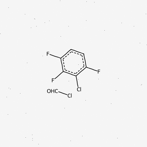 Fc1ccc(F)c(Cl)c1F.O=CCl